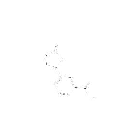 COC(=O)c1cccc(C2CNC(=O)C2)c1